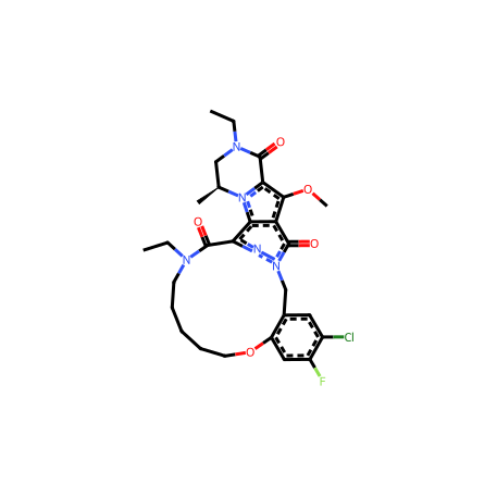 CCN1CCCCCOc2cc(F)c(Cl)cc2Cn2nc(c3c(c(OC)c4n3[C@@H](C)CN(CC)C4=O)c2=O)C1=O